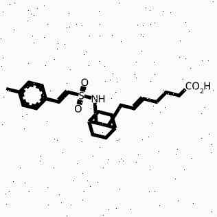 Cc1ccc(C=CS(=O)(=O)NC2C3CCC(CC3)C2CC=CCCCC(=O)O)cc1